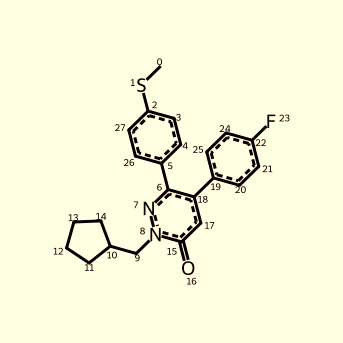 CSc1ccc(-c2nn(CC3CCCC3)c(=O)cc2-c2ccc(F)cc2)cc1